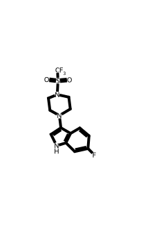 O=S(=O)(N1CCN(c2c[nH]c3cc(F)ccc23)CC1)C(F)(F)F